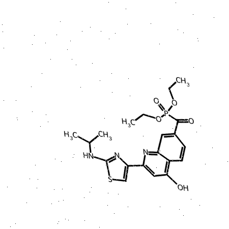 CCOP(=O)(OCC)C(=O)c1ccc2c(O)cc(-c3csc(NC(C)C)n3)nc2c1